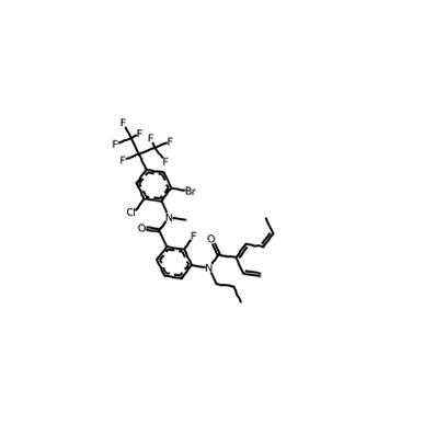 C=C/C(=C\C=C/C)C(=O)N(CCC)c1cccc(C(=O)N(C)c2c(Cl)cc(C(F)(C(F)(F)F)C(F)(F)F)cc2Br)c1F